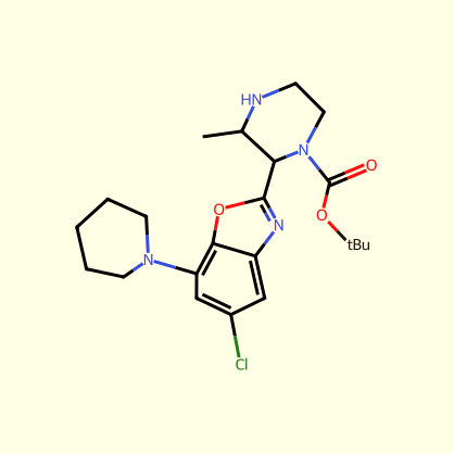 CC1NCCN(C(=O)OC(C)(C)C)C1c1nc2cc(Cl)cc(N3CCCCC3)c2o1